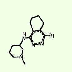 [2H]c1nnc(NC2CCCN(C)C2)c2c1CCCC2